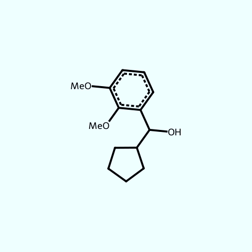 COc1cccc(C(O)C2CCCC2)c1OC